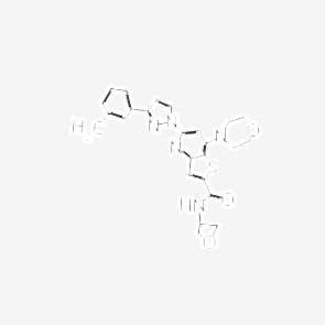 Cc1cccc(-c2ccn(-c3cc(N4CCOCC4)c4sc(C(=O)NC5COC5)cc4n3)n2)c1